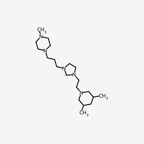 CC1CC(C)CN(CCN2[C]N(CCCN3CCN(C)CC3)CC2)C1